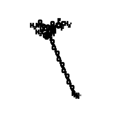 [CH2]c1c(F)cc(NC(=O)[C@H](CCCNC(N)=O)NC(=O)[C@@H](NC(=O)CCOCCOCCOCCOCCOCCOCCOCCOCCOCCN=[N+]=[N-])C(C)C)cc1F